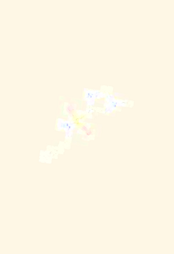 C#CCNS(=O)(=O)c1cn(C)cn1